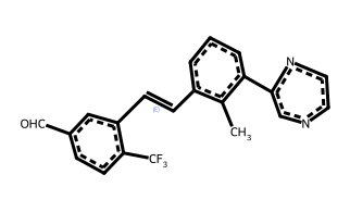 Cc1c(/C=C/c2cc(C=O)ccc2C(F)(F)F)cccc1-c1cnccn1